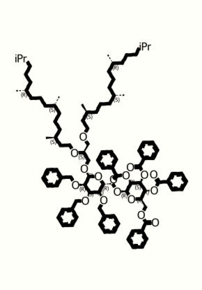 CC(C)CCC[C@@H](C)CCC[C@H](C)CCC[C@H](C)CCOC[C@@H](CO[C@H]1O[C@H](CO[C@@H]2O[C@H](COC(=O)c3ccccc3)[C@@H](OC(=O)c3ccccc3)[C@H](OC(=O)c3ccccc3)[C@H]2OC(=O)c2ccccc2)[C@@H](OCc2ccccc2)[C@H](OCc2ccccc2)[C@H]1OCc1ccccc1)OCC[C@@H](C)CCC[C@@H](C)CCC[C@H](C)CCCC(C)C